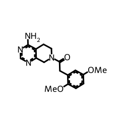 COc1ccc(OC)c(CC(=O)N2CCc3c(N)ncnc3C2)c1